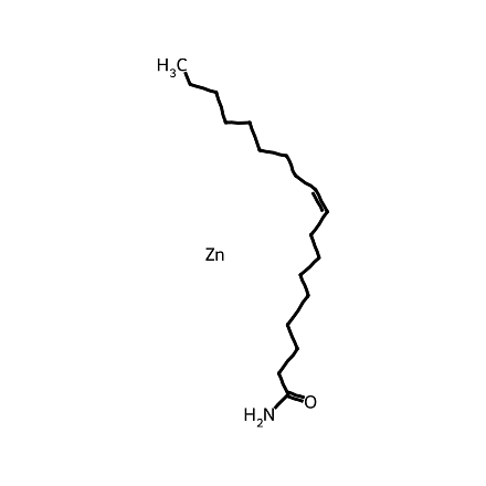 CCCCCCCC/C=C\CCCCCCCC(N)=O.[Zn]